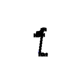 CCCCCCCC/C=C/CCCCCCCCCCCCC(C[N+](C)(C)CC)OP(=O)(O)O